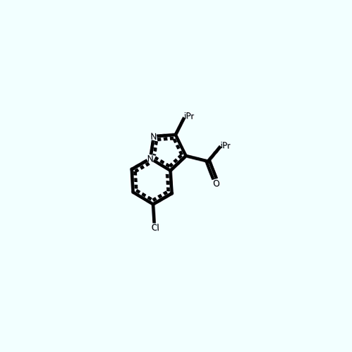 CC(C)C(=O)c1c(C(C)C)nn2ccc(Cl)cc12